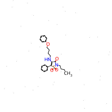 CCCCN1C(=O)C(NCCCCOc2ccccc2)=C(c2ccccc2)S1(=O)=O